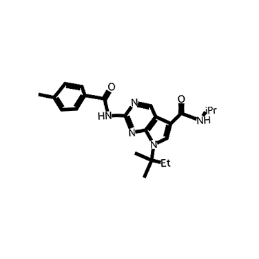 CCC(C)(C)n1cc(C(=O)NC(C)C)c2cnc(NC(=O)c3ccc(C)cc3)nc21